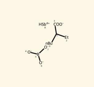 CCCCC(CC)C(=O)[O-].[O-]B([O-])[O-].[SbH+4]